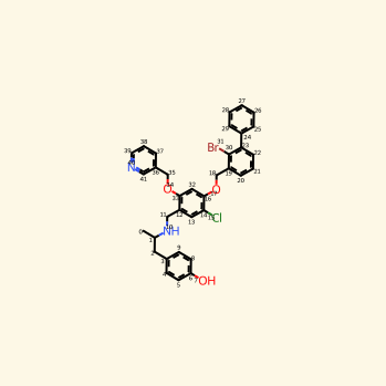 CC(Cc1ccc(O)cc1)NCc1cc(Cl)c(OCc2cccc(-c3ccccc3)c2Br)cc1OCc1cccnc1